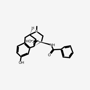 CN1CC[C@]23C[C@H](NC(=O)c4ccccc4)C[C@@]2(O)[C@H]1Cc1ccc(O)cc13